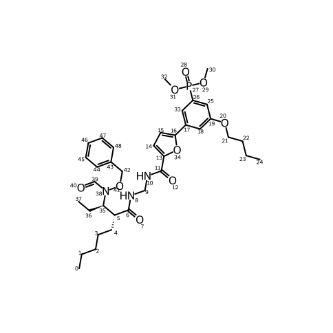 CCCCC[C@@H](C(=O)NCNC(=O)c1ccc(-c2cc(OCCCC)cc(P(=O)(OC)OC)c2)o1)[C@@H](CC)N(C=O)OCc1ccccc1